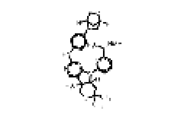 CN[C@@H](C)c1cccc(N2c3nc(Nc4ccc(N5C[C@@H]6C[C@H]5CO6)cc4)ncc3[C@@]3(C)COC(C)(C)C[C@@H]23)n1